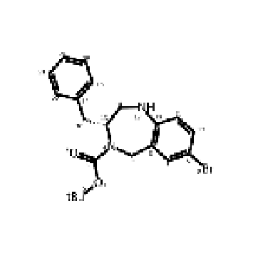 CC(C)(C)OC(=O)N1Cc2cc(Br)ccc2NC[C@H]1Cc1ccccc1